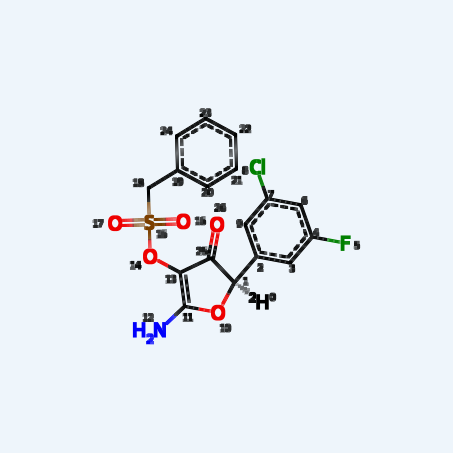 [2H][C@]1(c2cc(F)cc(Cl)c2)OC(N)=C(OS(=O)(=O)Cc2ccccc2)C1=O